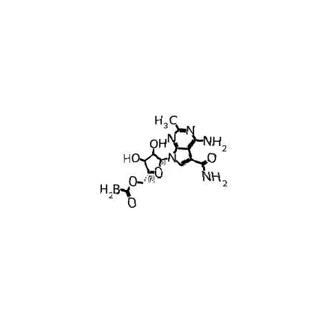 BC(=O)OC[C@H]1O[C@H](n2cc(C(N)=O)c3c(N)nc(C)nc32)C(O)C1O